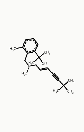 Cc1cccc(C(C)(C)O)c1CN(C)CC=CC#CC(C)(C)C